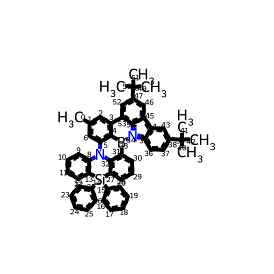 Cc1cc2c3c(c1)N1c4ccccc4[Si](c4ccccc4)(c4ccccc4)c4cccc(c41)B3n1c3ccc(C(C)(C)C)cc3c3cc(C(C)(C)C)cc-2c31